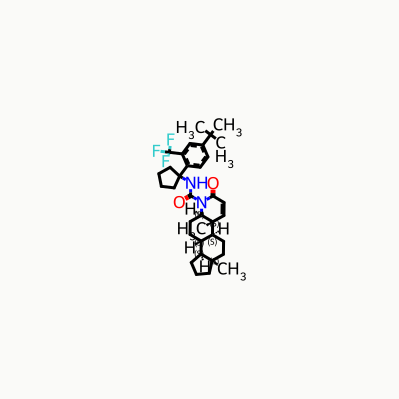 CC(C)(C)c1ccc(C2(NC(=O)N3C(=O)C=C[C@]4(C)[C@H]5CC[C@]6(C)CCC[C@H]6[C@@H]5CC[C@@H]34)CCCC2)c(C(F)(F)F)c1